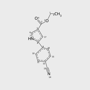 CCOC(=O)c1c[nH]c(-c2ccc(C#N)cc2)c1